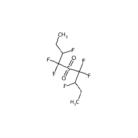 CCC(F)C(F)(F)S(=O)(=O)C(F)(F)C(F)CC